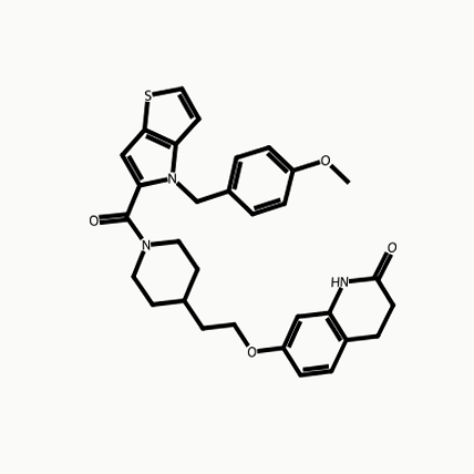 COc1ccc(Cn2c(C(=O)N3CCC(CCOc4ccc5c(c4)NC(=O)CC5)CC3)cc3sccc32)cc1